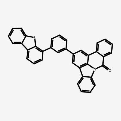 O=c1c2ccccc2c2cc(-c3cccc(-c4cccc5c4sc4ccccc45)c3)cc3c4ccccc4n1c23